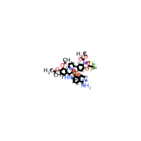 CCOc1cc([C@@H](Nc2ccc3c(N)nccc3c2)C(=O)N2CCC[C@H]2c2cc(N(OC(=O)C(F)(F)F)C(=O)OC)ccc2S(=O)(=O)CC)ccc1OC(C)C